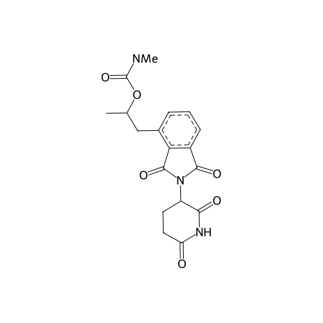 CNC(=O)OC(C)Cc1cccc2c1C(=O)N(C1CCC(=O)NC1=O)C2=O